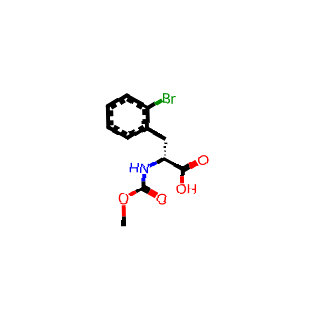 COC(=O)N[C@H](Cc1ccccc1Br)C(=O)O